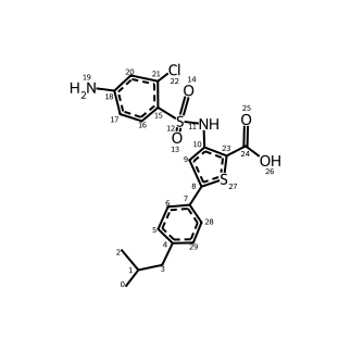 CC(C)Cc1ccc(-c2cc(NS(=O)(=O)c3ccc(N)cc3Cl)c(C(=O)O)s2)cc1